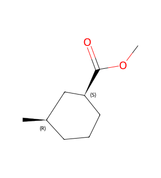 COC(=O)[C@H]1CCC[C@@H](C)C1